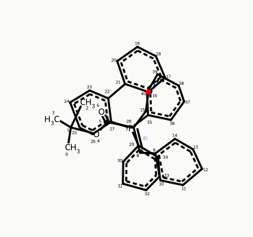 CC(C)(C)OC(=O)/C(=C/c1ccccc1)Cc1ccccc1-c1ccccc1P(c1ccccc1)c1ccccc1